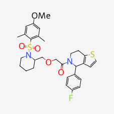 COc1cc(C)c(S(=O)(=O)N2CCCCC2COCC(=O)N2CCc3sccc3C2c2ccc(F)cc2)c(C)c1